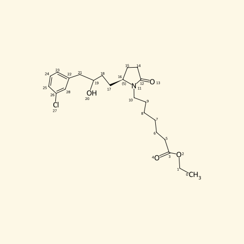 CCOC(=O)CCCCCCN1C(=O)CC[C@@H]1CCC(O)Cc1cccc(Cl)c1